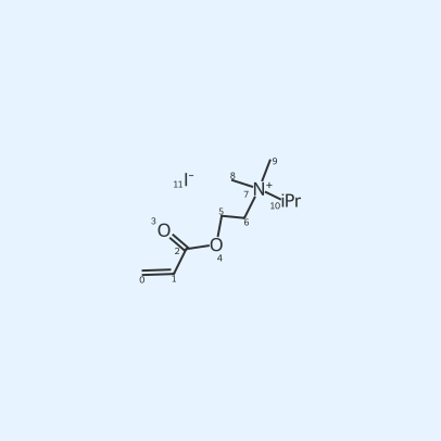 C=CC(=O)OCC[N+](C)(C)C(C)C.[I-]